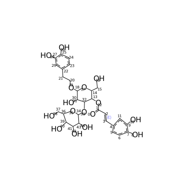 O=C(/C=C/c1ccc(O)c(O)c1)OC1C(CO)OC(OCCc2ccc(O)c(O)c2)C(O)C1OC1OC(CO)C(O)C(O)C1O